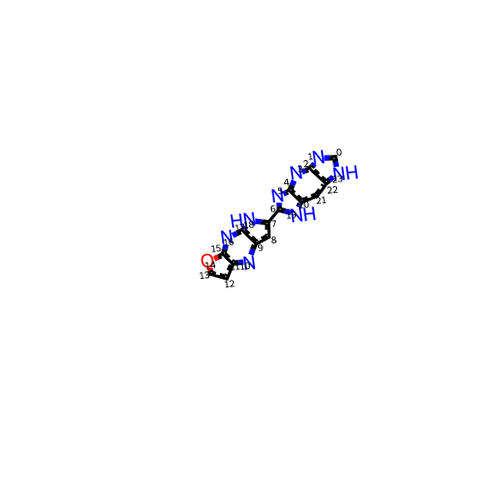 c1nc2nc3nc(-c4cc5nc6ccoc6nc5[nH]4)[nH]c3cc2[nH]1